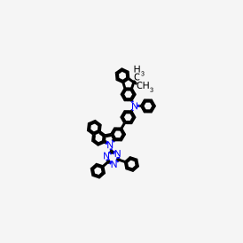 CC1(C)c2ccccc2-c2ccc(N(c3ccccc3)c3ccc(-c4ccc5c(c4)c4c6ccccc6ccc4n5-c4nc(-c5ccccc5)nc(-c5ccccc5)n4)cc3)cc21